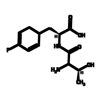 C[C@@H](O)C(N)C(=O)N[C@H](CC1C=CC(F)=CC1)C(=O)O